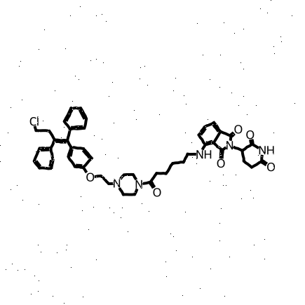 O=C1CCC(N2C(=O)c3cccc(NCCCCCC(=O)N4CCN(CCOc5ccc(/C(=C(/CCCl)c6ccccc6)c6ccccc6)cc5)CC4)c3C2=O)C(=O)N1